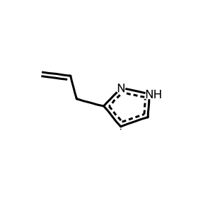 C=CCc1[c]c[nH]n1